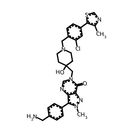 Cc1ncsc1-c1ccc(CN2CCC(O)(Cn3cnc4c(-c5ccc(CN)cc5)n(C)nc4c3=O)CC2)c(Cl)c1